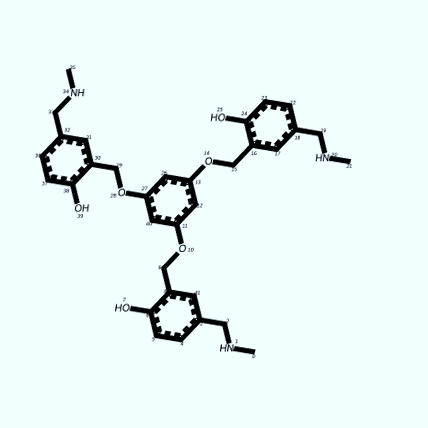 CNCc1ccc(O)c(COc2cc(OCc3cc(CNC)ccc3O)cc(OCc3cc(CNC)ccc3O)c2)c1